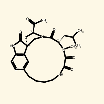 CC(C)C[C@H]1C(=O)N2C[C@]3(C[C@H]2C(N)=O)C(=O)Nc2ccc(cc23)CCCCNC(=O)C(=O)N1C